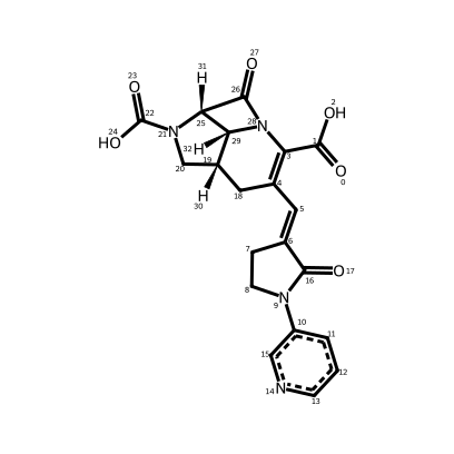 O=C(O)C1=C(/C=C2\CCN(c3cccnc3)C2=O)C[C@@H]2CN(C(=O)O)[C@@H]3C(=O)N1[C@H]23